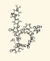 COC[C@@H]1NC(=O)[C@H](C)N(Cc2ccc(Cl)cc2Oc2ccc(-c3cnc4n3CCN(C(C)C)C4)cc2)C(=O)C[C@@H](Cc2ccccc2)C(=O)N(C)[C@@H](C)CNC(=O)C[C@H](Cc2ccc(Cl)cc2)N(C)C1=O.O=C(O)C(F)(F)F